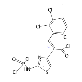 O=C(Cl)/C(=C\c1c(Cl)ccc(Cl)c1Cl)c1csc(NP(=O)(Cl)Cl)n1